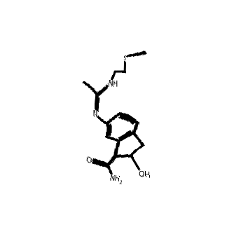 CSCCNC(C)=Nc1ccc2c(c1)C(C(N)=O)C(O)C2